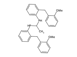 COc1ccccc1Cc1ccccc1PC(C)Pc1ccccc1Cc1ccccc1OC